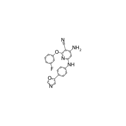 N#Cc1c(N)cc(Nc2ccc(-c3cnco3)cc2)nc1Oc1cccc(F)c1